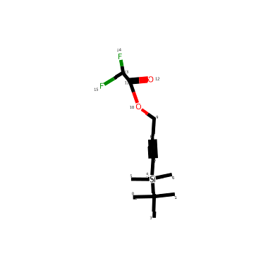 CC(C)(C)[Si](C)(C)C#CCOC(=O)C(F)F